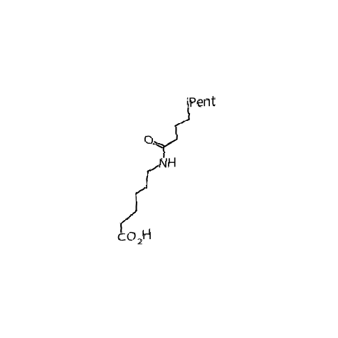 CCCC(C)CCCC(=O)NCCCCCC(=O)O